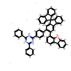 c1ccc(-c2nc(-c3ccccc3)nc(-c3ccc(-c4cc5c(cc4-c4cccc6c4oc4ccccc46)-c4ccccc4C54c5ccccc5-c5ccccc54)cc3)n2)cc1